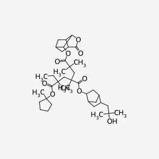 CCC(C)(CC(C)(CC(C)(C)C(=O)OC1C2CC3C(=O)OC1C3C2)C(=O)OC1CC2CC1CC2CC(C)(C)O)C(=O)OC1(C)CCCC1